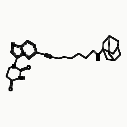 O=C1CCN(c2cnc3ccc(C#CCCCCCCNC45CC6CC(CC(C6)C4)C5)cn23)C(=O)N1